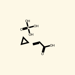 C1CC1.C=CC(=O)O.O=P(O)(O)O